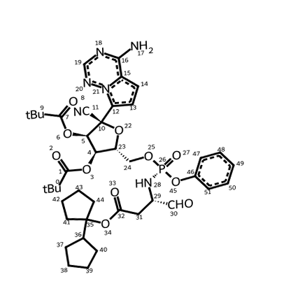 CC(C)(C)C(=O)O[C@H]1[C@@H](OC(=O)C(C)(C)C)[C@](C#N)(c2ccc3c(N)ncnn23)O[C@@H]1CO[P@](=O)(N[C@H](C=O)CC(=O)OC1(C2CCCC2)CCCC1)Oc1ccccc1